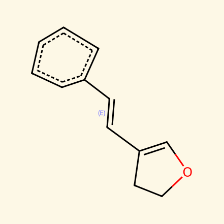 C1=C(/C=C/c2ccccc2)CCO1